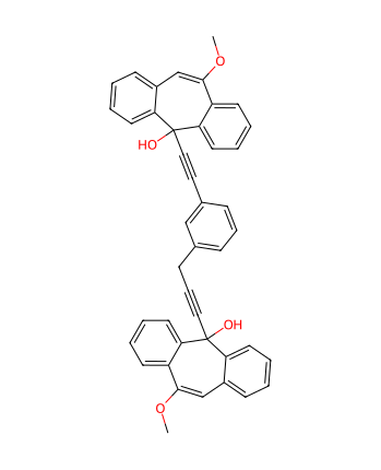 COC1=Cc2ccccc2C(O)(C#CCc2cccc(C#CC3(O)c4ccccc4C=C(OC)c4ccccc43)c2)c2ccccc21